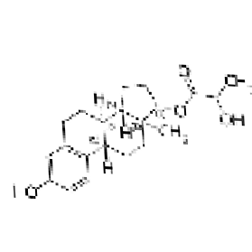 CC(O)C(=O)O[C@H]1CC[C@H]2[C@@H]3CCc4cc(O)ccc4[C@H]3CC[C@]12C